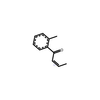 C/C=C\C(=O)c1ccccc1C